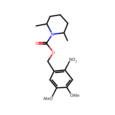 COc1cc(COC(=O)N2C(C)CCCC2C)c([N+](=O)[O-])cc1OC